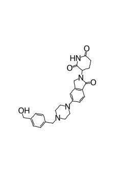 O=C1CCC(N2Cc3cc(N4CCN(Cc5ccc(CO)cc5)CC4)ccc3C2=O)C(=O)N1